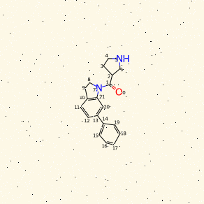 O=C(C1CCNC1)N1CCc2ccc(-c3ccccc3)cc21